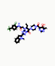 CCc1c(N2CCN(C(=O)c3ncnc(C)c3O)CC2)c(=O)n2nc(-c3cc4ccccc4n3C)nc2n1CC(=O)Nc1ccc(C(F)(F)F)cc1Cl